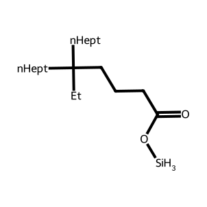 CCCCCCCC(CC)(CCCCCCC)CCCC(=O)O[SiH3]